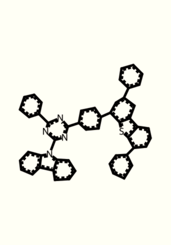 c1ccc(-c2cc(-c3ccc(-c4nc(-c5ccccc5)nc(-n5c6ccccc6c6ccccc65)n4)cc3)c3sc4c(-c5ccccc5)cccc4c3c2)cc1